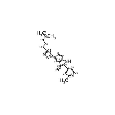 Cc1cc(-c2[nH]c3ccc(-c4nnc(CCCN(C)C)o4)cc3c2C(C)C)ccn1